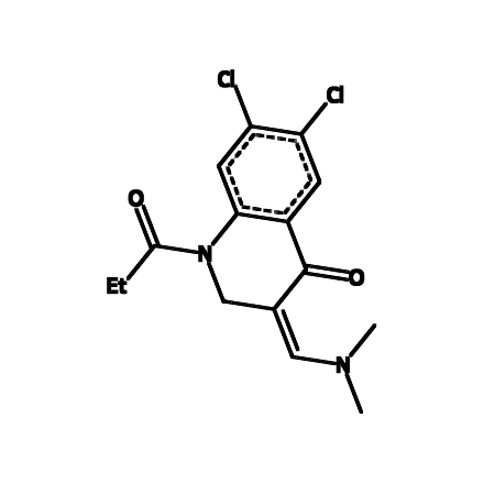 CCC(=O)N1C/C(=C/N(C)C)C(=O)c2cc(Cl)c(Cl)cc21